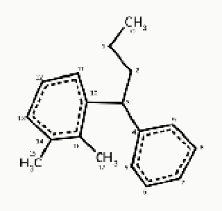 CCCC(c1ccccc1)c1cccc(C)c1C